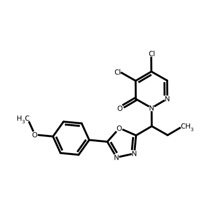 CCC(c1nnc(-c2ccc(OC)cc2)o1)n1ncc(Cl)c(Cl)c1=O